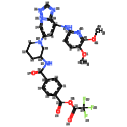 COc1ccc(Nc2cc(N3CCCC(NC(=O)c4ccc(C(=O)OC(=O)C(F)(F)F)cc4)C3)cn3ncnc23)nc1OC